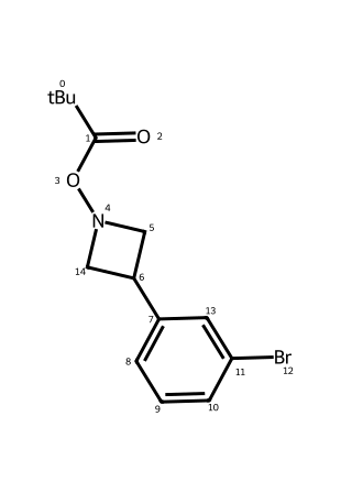 CC(C)(C)C(=O)ON1CC(c2cccc(Br)c2)C1